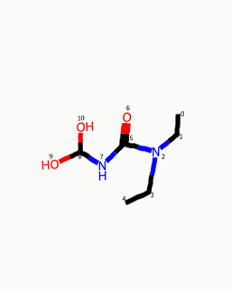 CCN(CC)C(=O)NC(O)O